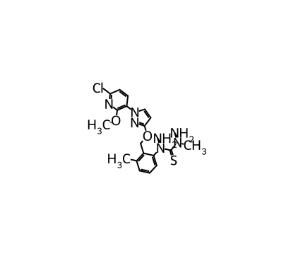 COc1nc(Cl)ccc1-n1ccc(OCc2c(C)cccc2N(N)C(=S)N(C)N)n1